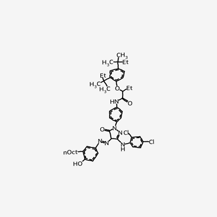 CCCCCCCCc1cc(N=NC2C(=O)N(c3ccc(NC(=O)C(CC)Oc4ccc(C(C)(C)CC)cc4C(C)(C)CC)cc3)N=C2Nc2ccc(Cl)cc2Cl)ccc1O